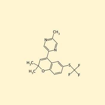 Cc1cnc(C2=CC(C)(C)Oc3ccc(SC(F)(F)F)cc32)cn1